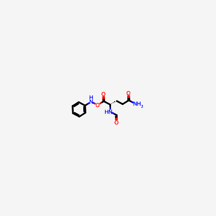 NC(=O)CC[C@H](NC=O)C(=O)ONc1ccccc1